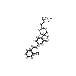 O=C(O)CCN1CCC2(CC1)COc1cc(/C=C/c3ccccc3Cl)ccc12